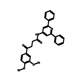 CCOc1ccc(C(=O)CCC(=O)Nc2cc(-c3ccccc3)nc(-c3ccccc3)c2)cc1OCC